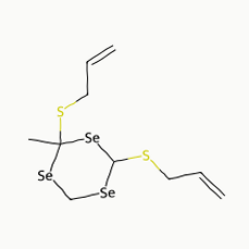 C=CCSC1[Se]C[Se]C(C)(SCC=C)[Se]1